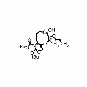 C=CCO[C@H]1[C@H](C)OC(=O)[C@@H](N(C(=O)OC(C)(C)C)C(=O)OC(C)(C)C)CCCC[C@@H]1O